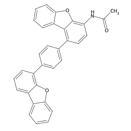 CC(=O)Nc1ccc(-c2ccc(-c3cccc4c3oc3ccccc34)cc2)c2c1oc1ccccc12